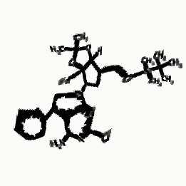 CC1(C)O[C@@H]2[C@@H](CO[Si](C)(C)C(C)(C)C)C[C@@H](n3cc(-c4ccccc4)c4c(N)nc(Cl)nc43)[C@@H]2O1